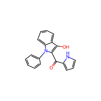 O=C(c1ccc[nH]1)c1c(O)c2ccccc2n1-c1ccccc1